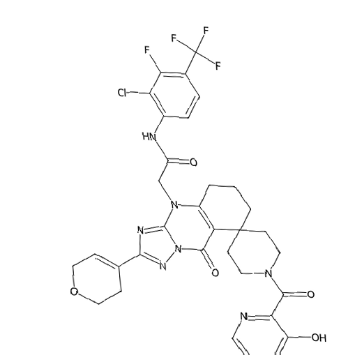 O=C(Cn1c2c(c(=O)n3nc(C4=CCOCC4)nc13)C1(CCC2)CCN(C(=O)c2ncccc2O)CC1)Nc1ccc(C(F)(F)F)c(F)c1Cl